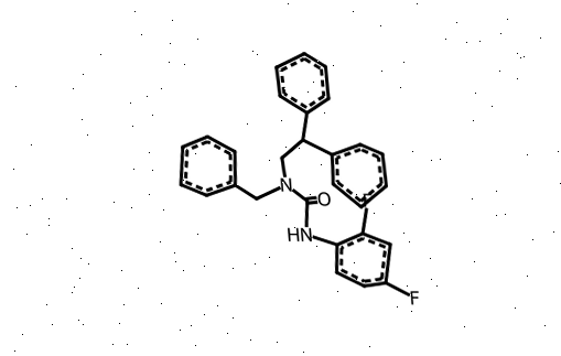 O=C(Nc1ccc(F)cc1F)N(Cc1ccccc1)CC(c1ccccc1)c1ccccc1